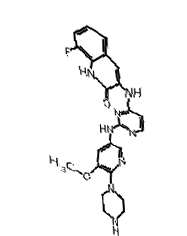 COc1cc(Nc2nccc(Nc3cc4cccc(F)c4[nH]c3=O)n2)cnc1N1CCNCC1